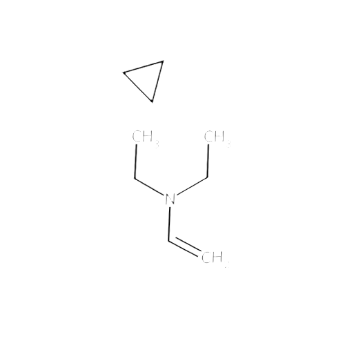 C1CC1.C=CN(CC)CC